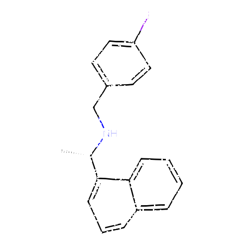 C[C@H](NCc1ccc(I)cc1)c1cccc2ccccc12